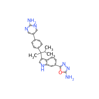 CC(C)C(C)(c1ccc(-c2cnc(N)nc2)cc1)c1c[nH]c2cc(-c3nnc(N)o3)ccc12